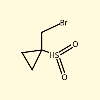 O=[SH](=O)C1(CBr)CC1